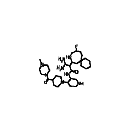 CN1CCN(C(=O)C2CCN(C3CCNCC3NC(=O)C(C(N)N)C3CC4(CCCCC4)CCC(F)CN3)CC2)CC1